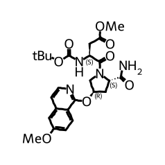 COC(=O)C[C@H](NC(=O)OC(C)(C)C)C(=O)N1C[C@H](Oc2nccc3cc(OC)ccc23)C[C@H]1C(N)=O